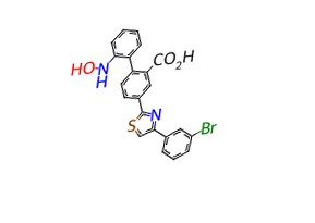 O=C(O)c1cc(-c2nc(-c3cccc(Br)c3)cs2)ccc1-c1ccccc1NO